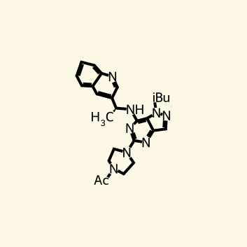 CCC(C)n1ncc2nc(N3CCN(C(C)=O)CC3)nc(N[C@H](C)c3cnc4ccccc4c3)c21